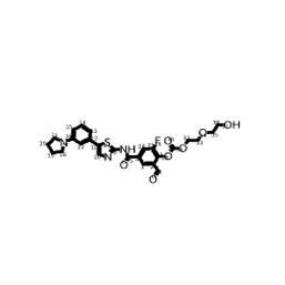 O=Cc1cc(C(=O)Nc2ncc(-c3cccc(N4CCCC4)c3)s2)cc(F)c1OC(=O)OCCOCCO